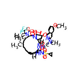 COc1ccc2c(O[C@@H]3C[C@H]4C(=O)N[C@]5(C(=O)NS(=O)(=O)C6CC6)C[C@H]5/C=C\CC[C@H](C)C[C@@H](C)[C@H](N(C(=O)O)[C@H](C)C(F)(F)F)C(=O)N4C3)nc(N(C)C)cc2c1